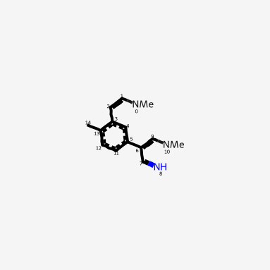 CN/C=C\c1cc(/C(C=N)=C/NC)ccc1C